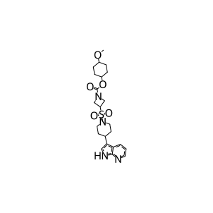 COC1CCC(OC(=O)N2CC(S(=O)(=O)N3CCC(c4c[nH]c5ncccc45)CC3)C2)CC1